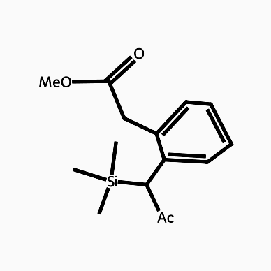 COC(=O)Cc1ccccc1C(C(C)=O)[Si](C)(C)C